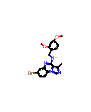 COc1ccc(CNc2nc3cc(Br)ccc3n3cnc(C)c23)c(OC)c1